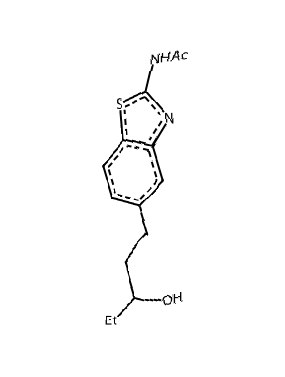 CCC(O)CCc1ccc2sc(NC(C)=O)nc2c1